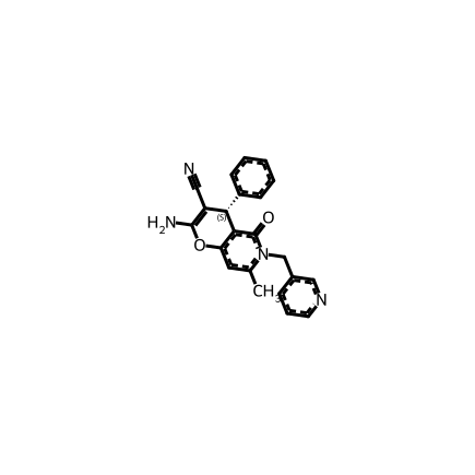 Cc1cc2c(c(=O)n1Cc1cccnc1)[C@@H](c1ccccc1)C(C#N)=C(N)O2